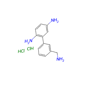 Cl.Cl.NCc1cccc(-c2cc(N)ccc2N)c1